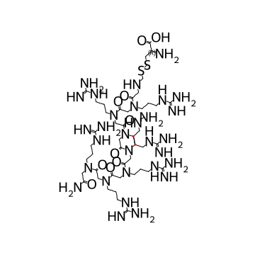 N=C(N)NCCCN(CC(N)=O)C(=O)CN(CCCNC(=N)N)C(=O)CN(CCCNC(=N)N)C(=O)CN(CCCNN)C(=O)CN(CCCNC(=N)N)C(=O)CN(CCCNC(=N)N)C(=O)CN(CCCNC(=N)N)C(=O)CNCSSC[C@H](N)C(=O)O